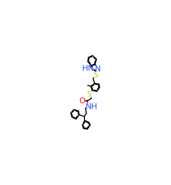 Cc1c(CSc2nc3ccccc3[nH]2)cccc1SCC(=O)NCCC(c1ccccc1)c1ccccc1